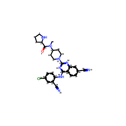 CN(C(=O)C1CCCN1)C1CCN(c2nc(Nc3ccc(Cl)cc3C#N)c3ccc(C#N)cc3n2)CC1